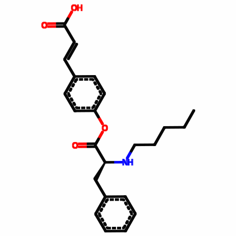 CCCCCN[C@@H](Cc1ccccc1)C(=O)Oc1ccc(/C=C/C(=O)O)cc1